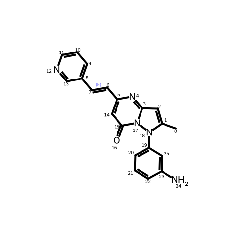 Cc1cc2nc(/C=C/c3cccnc3)cc(=O)n2n1-c1cccc(N)c1